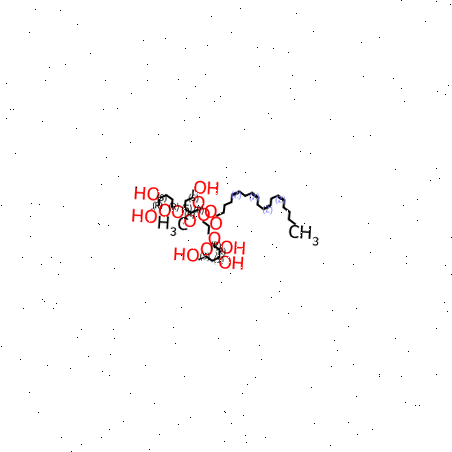 CCCCC/C=C\C/C=C\C/C=C\C/C=C\CCCC(=O)OC(CO[C@@H]1O[C@H](CO)C[C@H](O)[C@H]1O)CO[C@@H]1O[C@H](CO)C[C@H](O[C@H]2CC[C@H](O)[C@@H](CO)O2)[C@H]1OC